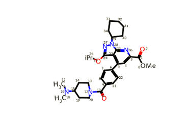 COC(=O)c1cc(-c2ccc(C(=O)N3CCC(N(C)C)CC3)cc2)c2c(OC(C)C)nn(C3CCCCC3)c2n1